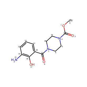 CC(C)OC(=O)N1CCN(C(=O)c2cccc(N)c2O)CC1